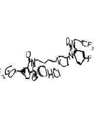 Cl.O=C1c2cc(OC(F)(F)F)ccc2S(=O)(=O)N1CCCCN1CCC(n2c(=O)n(CC(F)(F)F)c3cc(F)ccc32)CC1